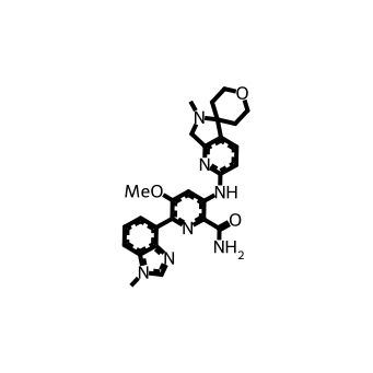 COc1cc(Nc2ccc3c(n2)CN(C)C32CCOCC2)c(C(N)=O)nc1-c1cccc2c1ncn2C